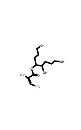 CC=C(C)C(=O)OC(CCCO)C(O)CCCO